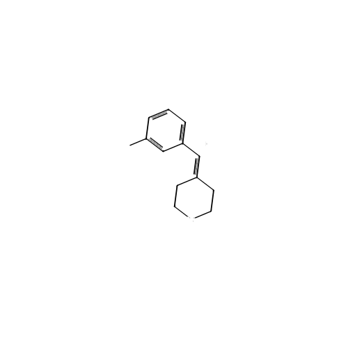 Cl.Fc1cccc(C=C2CCNCC2)c1